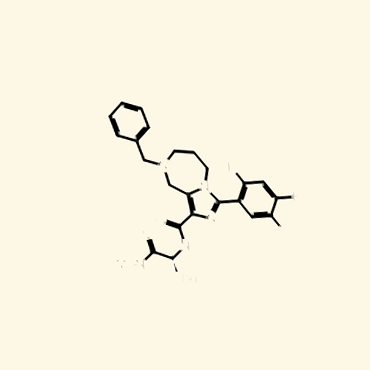 CNC(=O)[C@@H](NC(=O)c1nc(-c2cc(F)c(F)cc2F)n2c1CN(Cc1ccccc1)CCC2)C(C)(C)C